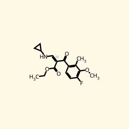 CCOC(=O)/C(=C\NC1CC1)C(=O)c1ccc(F)c(OC)c1C